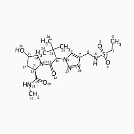 CCS(=O)(=O)NCc1cn(C(C(=O)N2CC(O)C[C@@H]2C(=O)NC)C(C)(C)C)nn1